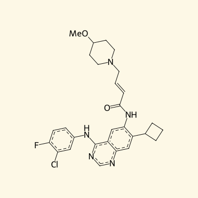 COC1CCN(CC=CC(=O)Nc2cc3c(Nc4ccc(F)c(Cl)c4)ncnc3cc2C2CCC2)CC1